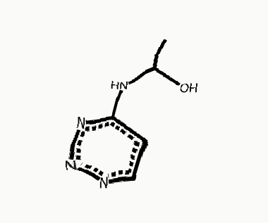 CC(O)Nc1ccnnn1